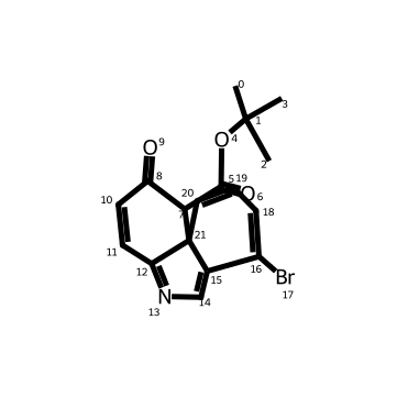 CC(C)(C)OC(=O)C1C(=O)C=CC2=NC=C3C(Br)=CC=CC321